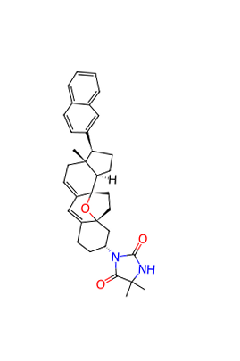 CC1(C)NC(=O)N([C@@H]2CCC3=CC4=CC[C@]5(C)[C@@H](c6ccc7ccccc7c6)CC[C@H]5[C@@]45CC[C@]3(C2)O5)C1=O